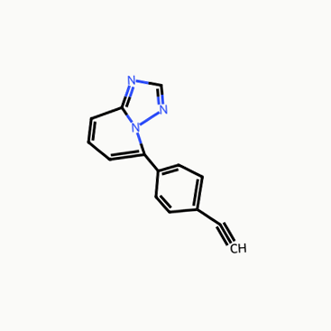 C#Cc1ccc(-c2cccc3ncnn23)cc1